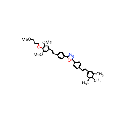 COCCCOc1c(OC)cc(/C=C/c2ccc(-c3nnc(-c4ccc(/C=C/c5cc(C)c(C)c(C)c5)cc4)o3)cc2)cc1OC